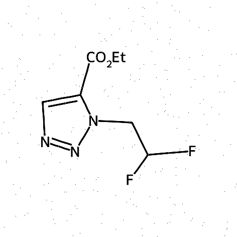 CCOC(=O)c1cnnn1CC(F)F